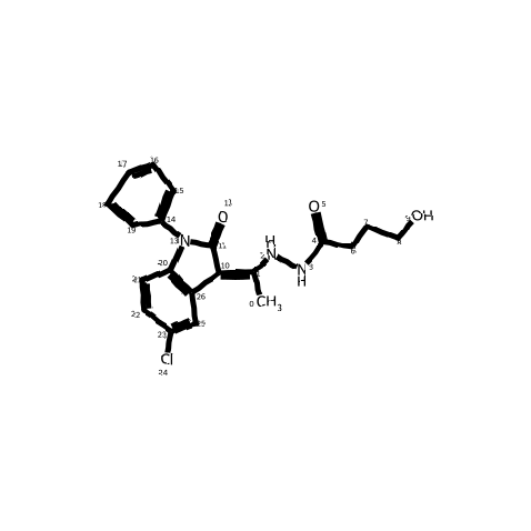 C/C(NNC(=O)CCCO)=C1/C(=O)N(c2ccccc2)c2ccc(Cl)cc21